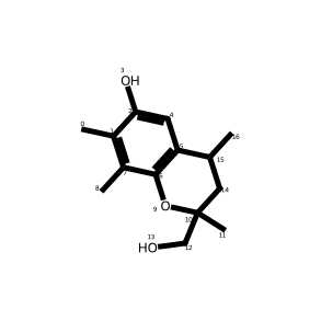 Cc1c(O)cc2c(c1C)OC(C)(CO)CC2C